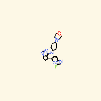 Fc1cnc2ccc(C3=CCc4ncnc(N=C5CCC(N6CCOCC6)CC5)c43)cn12